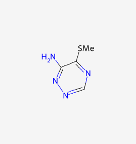 CSc1ncnnc1N